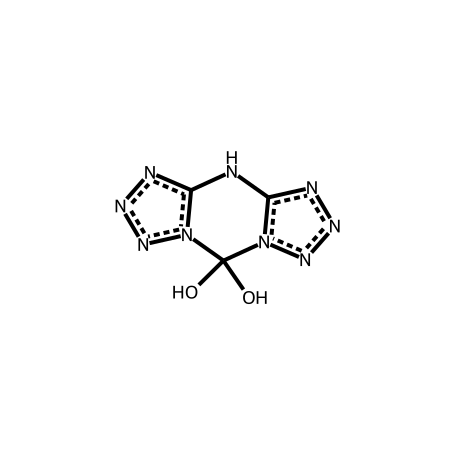 OC1(O)n2nnnc2Nc2nnnn21